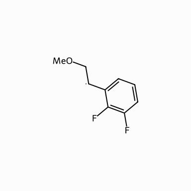 COC[CH]c1cccc(F)c1F